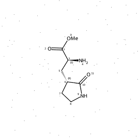 COC(=O)[C@@H](N)C[C@H]1CCNC1=O